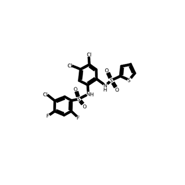 O=S(=O)(Nc1cc(Cl)c(Cl)cc1NS(=O)(=O)c1cc(Cl)c(F)cc1F)c1cccs1